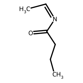 C/C=N\C(=O)CCC